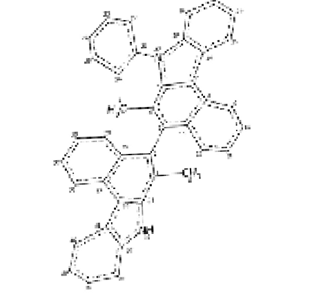 Cc1c(-c2c(C)c3c(c4ccccc24)c2ccccc2n3-c2ccccc2)c2ccccc2c2c1[nH]c1ccccc12